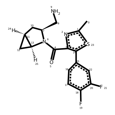 Cc1nc(C(=O)N2[C@H](CN)C[C@@H]3C[C@@H]32)c(-c2ccc(F)c(F)c2)s1